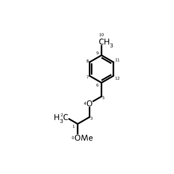 COC(C)COCc1ccc(C)cc1